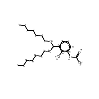 CCCCCCCOC(OCCCCCCC)c1cccc(OC(=O)O)c1O